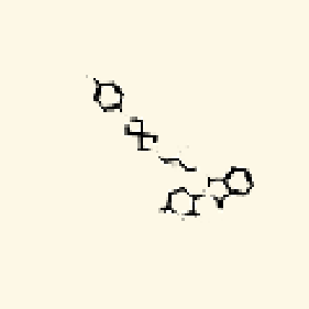 O=C1CCC(N2C(=O)c3ccccc3C2OC[C@H](O)CN2CC3(C2)CN(c2ccc(Br)cc2)C3)C(=O)N1